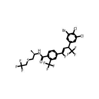 C[C@H](CSCC(F)(F)F)NC(=O)c1ccc(/C(F)=C/C(c2cc(Cl)c(Cl)c(Br)c2)C(F)(F)F)cc1C(F)(F)F